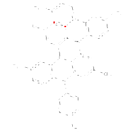 Cc1ccc(-c2cc(C)ccc2N2c3ccc(C)cc3B3c4cc(C)ccc4N(c4ccc(C)cc4)c4cc(C)cc2c43)cc1